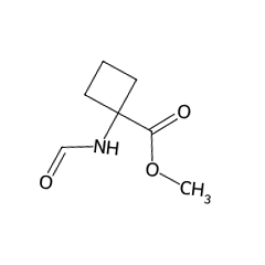 COC(=O)C1(NC=O)CCC1